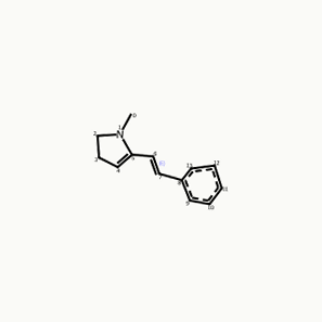 CN1CCC=C1/C=C/c1ccccc1